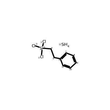 Cl[Si](Cl)(Cl)CCc1ccccc1.[SiH4]